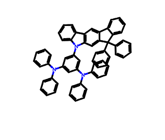 c1ccc(N(c2ccccc2)c2cc(N(c3ccccc3)c3ccccc3)cc(-n3c4ccccc4c4cc5c(cc43)C(c3ccccc3)(c3ccccc3)c3ccccc3-5)c2)cc1